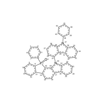 O=P1(c2ccccc2)c2ccccc2-c2ccc3c4ccccc4n(-c4cccc5c4c4ccccc4n5-c4ccccc4)c3c21